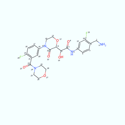 NCc1ccc(NC(=O)C(O)C2OCCN(c3ccc(F)c(C(=O)N4CCOCC4)c3)C2=O)cc1F